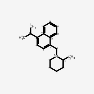 CC(C)c1ccc(CN2CCCCC2C)c2ccccc12